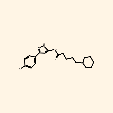 O=C(CCCCN1CCCCC1)Nc1cc(-c2ccc(Cl)cc2)n[nH]1